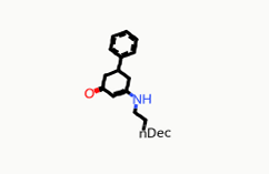 CCCCCCCCCCCCNC1=CC(=O)CC(c2ccccc2)C1